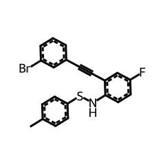 Cc1ccc(SNc2ccc(F)cc2C#Cc2cccc(Br)c2)cc1